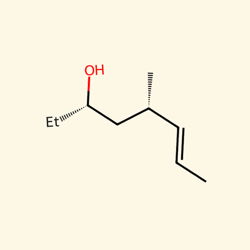 C/C=C/[C@@H](C)C[C@@H](O)CC